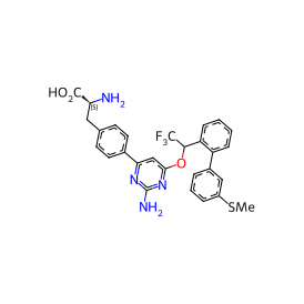 CSc1cccc(-c2ccccc2C(Oc2cc(-c3ccc(C[C@H](N)C(=O)O)cc3)nc(N)n2)C(F)(F)F)c1